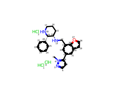 Cl.Cl.Cl.Cn1nccc1-c1cc(CN[C@H]2CCCN[C@H]2c2ccccc2)c2occc2c1